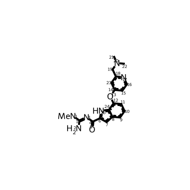 CNC(N)=NC(=O)c1cc2cccc(Oc3ccnc(CN(C)C)c3)c2[nH]1